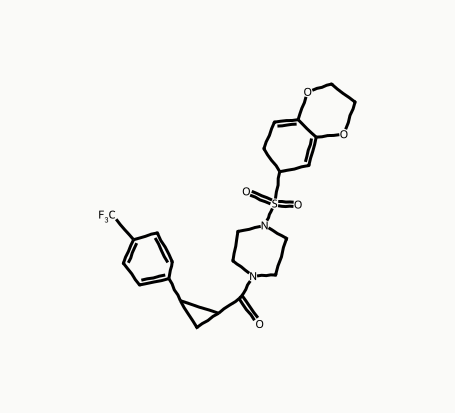 O=C(C1CC1c1ccc(C(F)(F)F)cc1)N1CCN(S(=O)(=O)C2C=C3OCCOC3=CC2)CC1